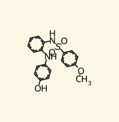 COc1ccc(S(=O)(=O)Nc2ccccc2Nc2ccc(O)cc2)cc1